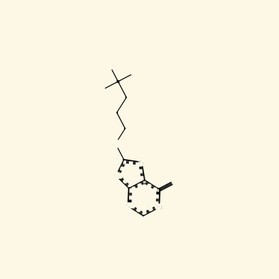 O=c1[nH]cnc2[nH]c(SCCCC(F)(F)F)nc12